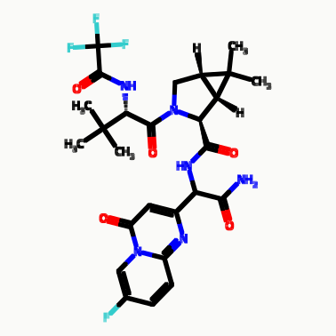 CC(C)(C)[C@H](NC(=O)C(F)(F)F)C(=O)N1C[C@H]2[C@@H]([C@H]1C(=O)NC(C(N)=O)c1cc(=O)n3cc(F)ccc3n1)C2(C)C